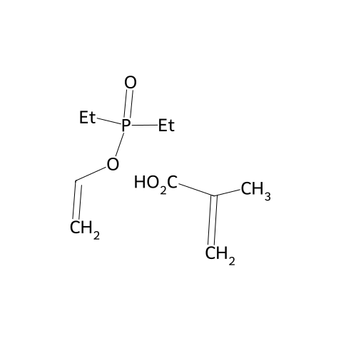 C=C(C)C(=O)O.C=COP(=O)(CC)CC